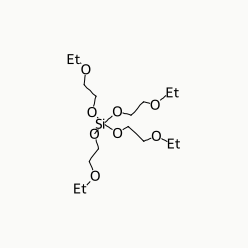 CCOCCO[Si](OCCOCC)(OCCOCC)OCCOCC